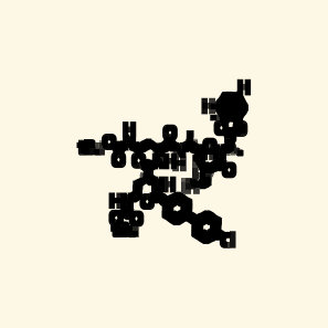 CC(C)C[C@H](NC(=O)[C@H](C)NC(=O)[C@H](CCNC(=O)OC(C)(C)C)NC(=O)[C@H](CCNC(=O)OC(C)(C)C)NC(=O)c1ccc(-c2ccc(Cl)cc2)cc1)C(=O)N[C@@H](C)B1OC2C[C@@H]3C[C@@H](C3(C)C)[C@]2(C)O1